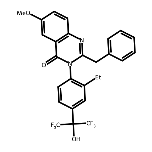 CCc1cc(C(O)(C(F)(F)F)C(F)(F)F)ccc1-n1c(Cc2ccccc2)nc2ccc(OC)cc2c1=O